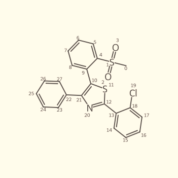 CS(=O)(=O)c1ccccc1-c1sc(-c2ccccc2Cl)nc1-c1ccccc1